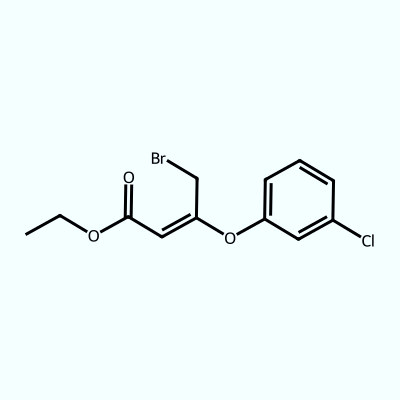 CCOC(=O)/C=C(\CBr)Oc1cccc(Cl)c1